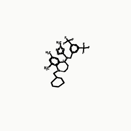 Cc1cc(C)c2c(c1)[C@@H](N(Cc1cc(C(F)(F)F)cc(C(F)(F)F)c1)c1nnn(C)n1)CCCN2CC1CCCCC1